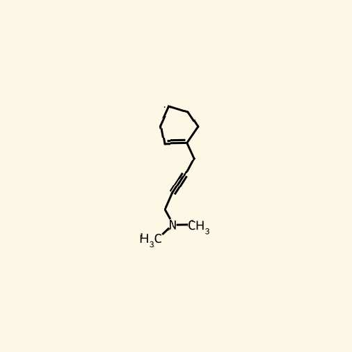 CN(C)CC#CCC1=CC[CH]CC1